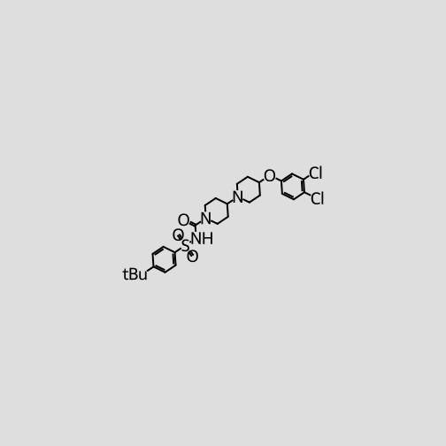 CC(C)(C)c1ccc(S(=O)(=O)NC(=O)N2CCC(N3CCC(Oc4ccc(Cl)c(Cl)c4)CC3)CC2)cc1